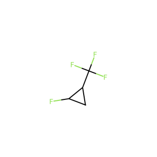 FC1CC1C(F)(F)F